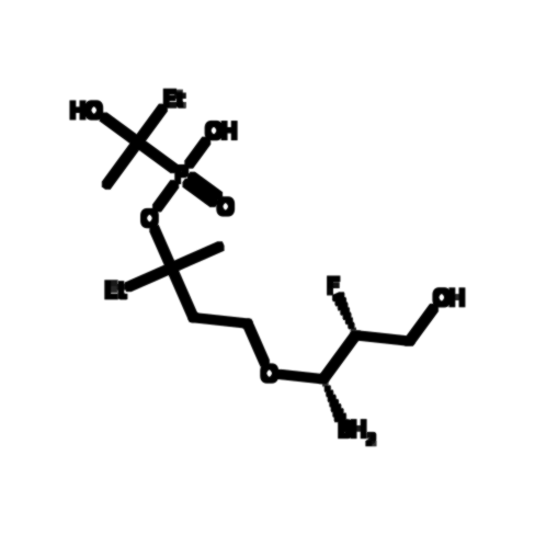 B[C@H](OCCC(C)(CC)OP(=O)(O)C(C)(O)CC)[C@H](F)CO